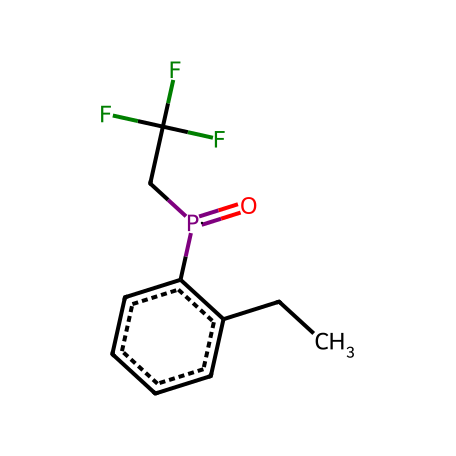 CCc1ccccc1[P](=O)CC(F)(F)F